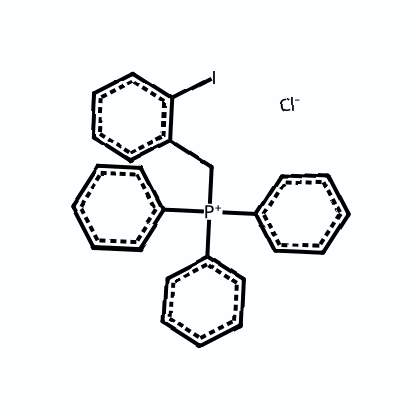 Ic1ccccc1C[P+](c1ccccc1)(c1ccccc1)c1ccccc1.[Cl-]